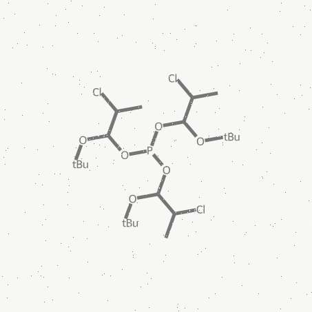 CC(Cl)C(OP(OC(OC(C)(C)C)C(C)Cl)OC(OC(C)(C)C)C(C)Cl)OC(C)(C)C